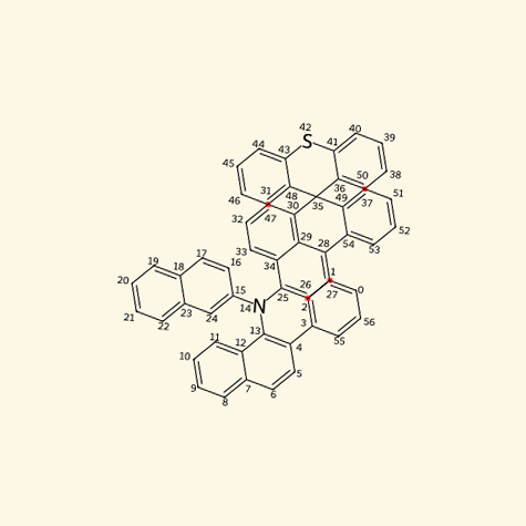 c1ccc(-c2ccc3ccccc3c2N(c2ccc3ccccc3c2)c2ccc3c4c(cccc24)C2(c4ccccc4Sc4ccccc42)c2ccccc2-3)cc1